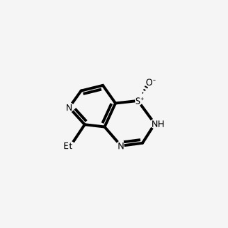 CCc1nccc2c1N=CN[S@@+]2[O-]